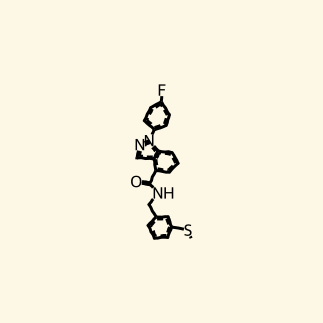 CSc1cccc(CNC(=O)c2cccc3c2cnn3-c2ccc(F)cc2)c1